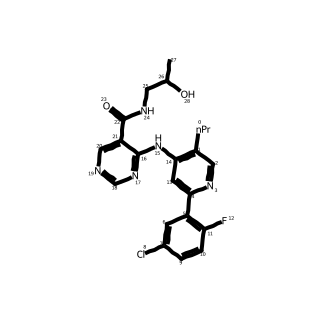 CCCc1cnc(-c2cc(Cl)ccc2F)cc1Nc1ncncc1C(=O)NCC(C)O